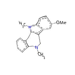 COc1ccc2c(c1)c1c(n2C)-c2ccccc2N(C)C1